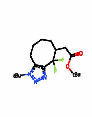 CC(C)(C)OC(=O)CC1CCCCc2c(nnn2C(C)(C)C)C1(F)F